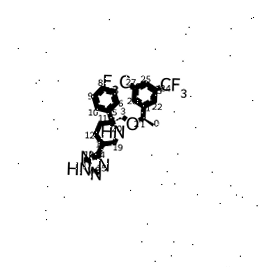 C[C@@H](OC[C@@]1(c2ccccc2)CCC(c2nn[nH]n2)CN1)c1cc(C(F)(F)F)cc(C(F)(F)F)c1